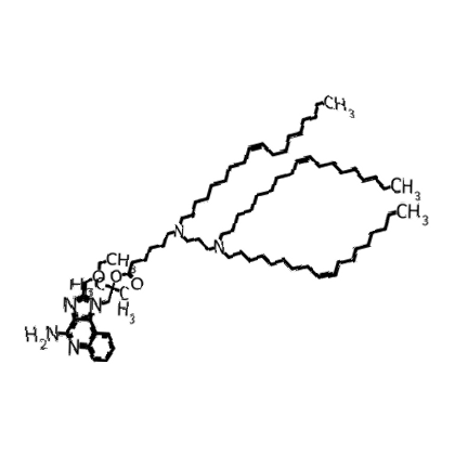 CCCCCCCC/C=C\CCCCCCCCN(CCCCCCCC/C=C\CCCCCCCC)CCCN(CCCCCCCC/C=C\CCCCCCCC)CCCCCC(=O)OC(C)(C)Cn1c(COCC)nc2c(N)nc3ccccc3c21